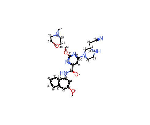 COc1cc(NC(=O)c2cc(N3CCN[C@@H](CC#N)C3)nc(OC[C@H]3CN(C)CCO3)n2)c2ccccc2c1